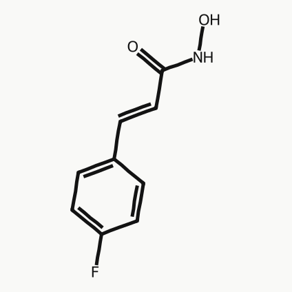 O=C(/C=C/c1ccc(F)cc1)NO